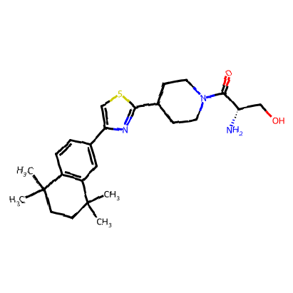 CC1(C)CCC(C)(C)c2cc(-c3csc(C4CCN(C(=O)[C@@H](N)CO)CC4)n3)ccc21